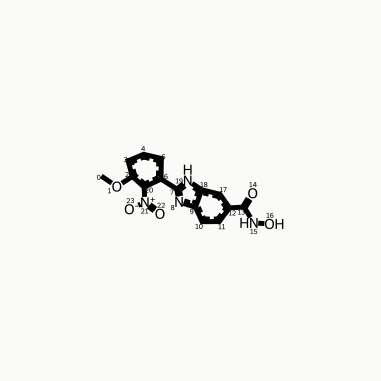 COc1cccc(-c2nc3ccc(C(=O)NO)cc3[nH]2)c1[N+](=O)[O-]